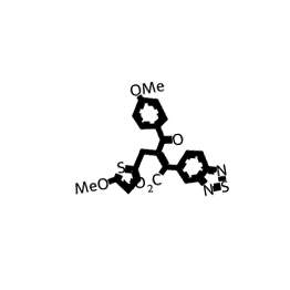 COc1ccc(C(=O)/C(Cc2ccc(OC)s2)=C(/C(=O)O)c2ccc3nsnc3c2)cc1